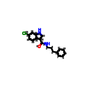 O=C(NCCCc1ccccc1)c1c[nH]c2cc(Cl)ccc12